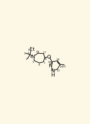 CCC(C)(C)N1CCCC(OC2=NNCC(C)=C2)CC1